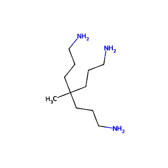 CC(CCCN)(CCCN)CCCN